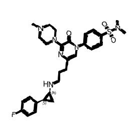 CN1CCN(c2nc(CCCN[C@@H]3C[C@H]3c3ccc(F)cc3)cn(-c3ccc(S(=O)(=O)N(C)C)cc3)c2=O)CC1